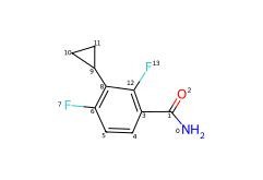 NC(=O)c1ccc(F)c(C2CC2)c1F